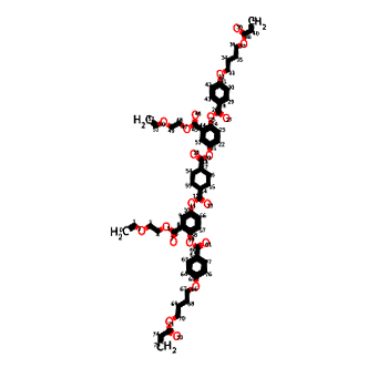 C=COCCOC(=O)c1cc(OC(=O)C2CCC(C(=O)Oc3ccc(OC(=O)c4ccc(OCCCCOC(=O)C=C)cc4)c(C(=O)OCCOC=C)c3)CC2)ccc1OC(=O)c1ccc(OCCCCOC(=O)C=C)cc1